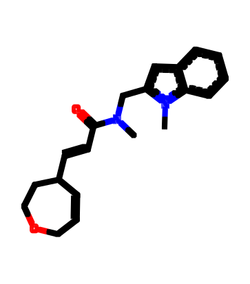 CN(Cc1cc2ccccc2n1C)C(=O)C=CC1C=CCOCC1